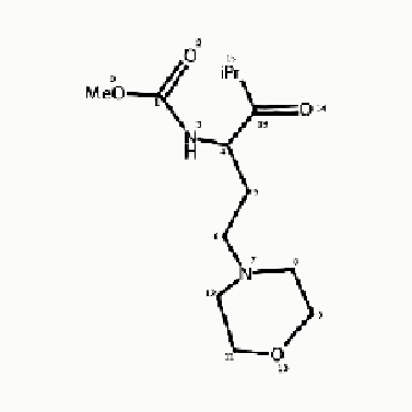 COC(=O)NC(CCN1CCOCC1)C(=O)C(C)C